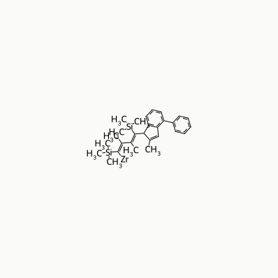 CC1=Cc2c(-c3ccccc3)cccc2C1C(=C(C)C(C)=[C]([Zr])[Si](C)(C)C)[Si](C)(C)C